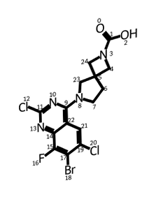 O=C(O)N1CC2(CCN(c3nc(Cl)nc4c(F)c(Br)c(Cl)cc34)C2)C1